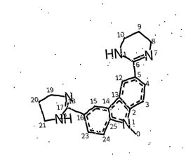 Cn1c2ccc(C3=NCCCN3)cc2c2cc(C3=NCCCN3)ccc21